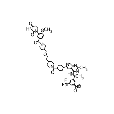 COc1ccc(C(=O)N2CCC(COCCC3CCN(C(=O)C4CCC(c5cc6c(N[C@H](C)c7cc([N+](=O)[O-])cc(C(F)(F)F)c7)nc(C)nc6cn5)CC4)CC3)CC2)cc1N1CCC(=O)NC1=O